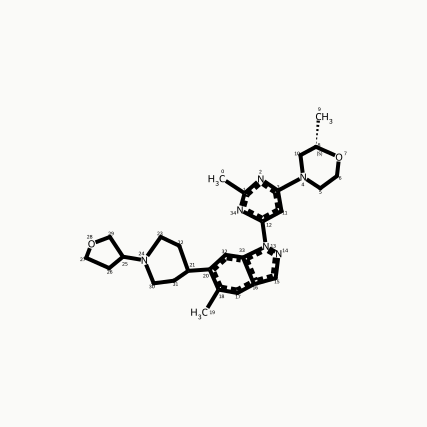 Cc1nc(N2CCO[C@@H](C)C2)cc(-n2ncc3cc(C)c(C4CCN(C5CCOC5)CC4)cc32)n1